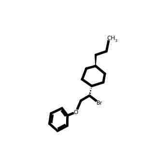 CCC[C@H]1CC[C@H](C(Br)COc2ccccc2)CC1